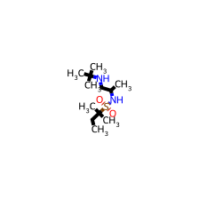 CCC(C)(C)S(=O)(=O)NC(C)CNC(C)(C)C